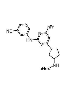 CCCCCCNC1CCN(c2cc(CCC)nc(Nc3cccc(C#N)c3)n2)C1